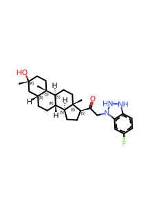 C[C@@]1(O)CC[C@@]2(C)[C@H](CC[C@@H]3[C@@H]2CC[C@]2(C)[C@@H](C(=O)CN4NNc5ccc(F)cc54)CC[C@@H]32)C1